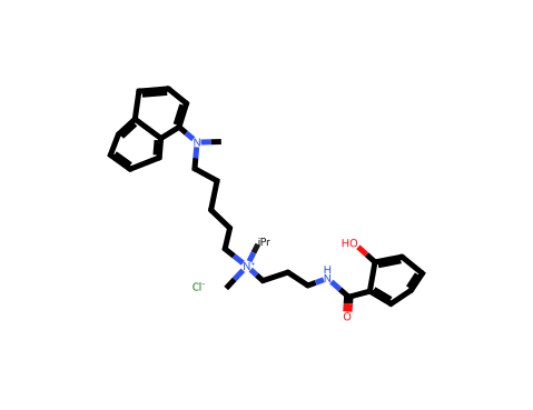 CC(C)[N+](C)(CCCCCN(C)c1cccc2ccccc12)CCCNC(=O)c1ccccc1O.[Cl-]